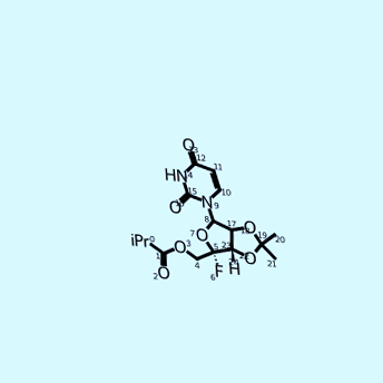 CC(C)C(=O)OC[C@@]1(F)OC(n2ccc(=O)[nH]c2=O)C2OC(C)(C)O[C@@H]21